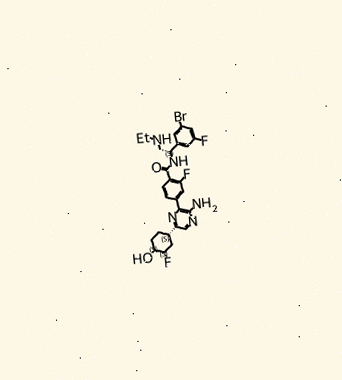 CCNC[C@@H](NC(=O)c1ccc(-c2nc([C@H]3CC[C@H](O)[C@@H](F)C3)cnc2N)cc1F)c1cc(F)cc(Br)c1